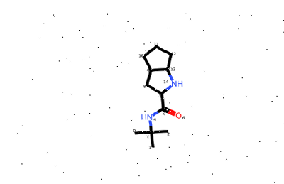 CC(C)(C)NC(=O)C1CC2CCCC2N1